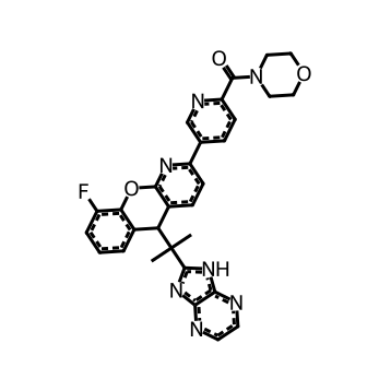 CC(C)(c1nc2nccnc2[nH]1)C1c2ccc(-c3ccc(C(=O)N4CCOCC4)nc3)nc2Oc2c(F)cccc21